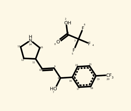 O=C(O)C(F)(F)F.OC(/C=C/C1CCNC1)c1ccc(C(F)(F)F)cc1